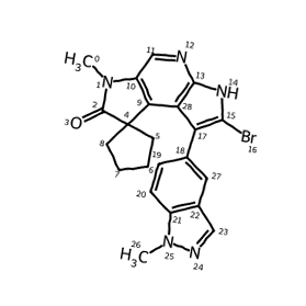 CN1C(=O)C2(CCCC2)c2c1cnc1[nH]c(Br)c(-c3ccc4c(cnn4C)c3)c21